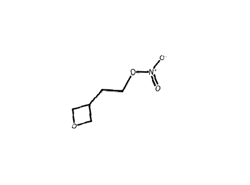 O=[N+]([O-])OCCC1COC1